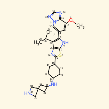 COc1cc(-c2[nH]c3sc(C4CCC(NC5CC6(CNC6)C5)CC4)nc3c2C(C)C)cn2ncnc12